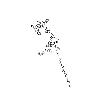 CCCOCCOCCOCCOCCOCCOCCOCCOCCN/C=C(/COC(=O)N(C)Cc1cc(NC(=O)C(CCCNC)NC)ccc1COC(=O)N(C)CC#Cc1ccc(OCCCc2sc(N3CCCC(/C(C)=C(\N)Nc4nc5ccccc5s4)=C3N)nc2C(=O)O)c(F)c1)N=N